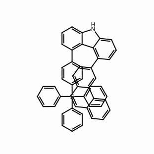 c1ccc([Si](c2ccccc2)(c2ccccc2)c2ccc(-c3cccc4[nH]c5cccc(-c6ccc7ccc8ccccc8c7c6)c5c34)cc2)cc1